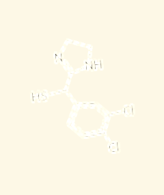 SC(C1=NCCN1)c1ccc(Cl)c(Cl)c1